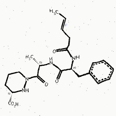 C/C=C/CC(=O)N[C@@H](Cc1ccccc1)C(=O)N[C@@H](C)C(=O)N1CCC[C@@H](C(=O)O)N1